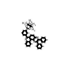 CC1(C)OB(c2cccc(-c3nc4ccccc4c4c3ccc3nc(-c5ccccc5)c(-c5ccccc5)nc34)c2)OC1(C)C